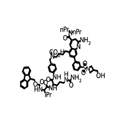 CCCN(CCC)C(=O)C1=Cc2c(CCCCN(Cc3ccc(NC(=O)C(CCCNC(N)=O)NC(=O)C(NC(=O)OCC4c5ccccc5-c5ccccc54)C(C)C)cc3)C(=O)O)cc(-c3cccc(S(=O)(=O)N4CC(CO)C4)c3)cc2N=C(N)C1